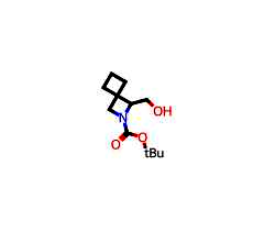 CC(C)(C)OC(=O)N1CC2(CCC2)C1CO